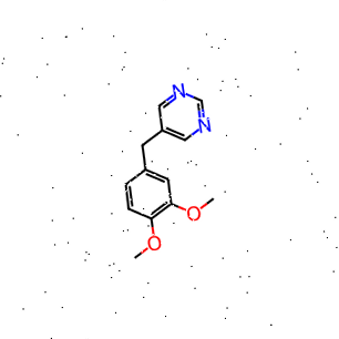 COc1ccc(Cc2cncnc2)cc1OC